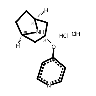 Cl.Cl.c1cc(O[C@@H]2C[C@H]3CC[C@@H](C2)N3)ccn1